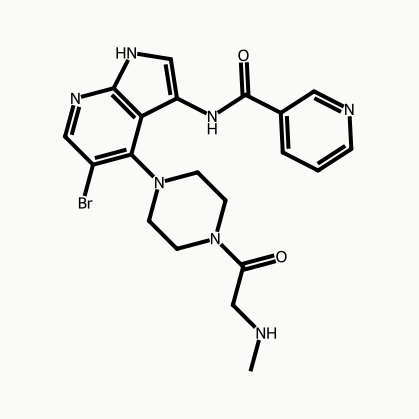 CNCC(=O)N1CCN(c2c(Br)cnc3[nH]cc(NC(=O)c4cccnc4)c23)CC1